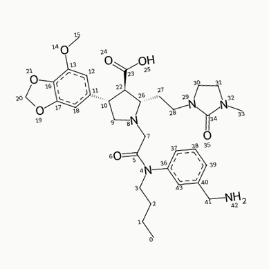 CCCCN(C(=O)CN1C[C@H](c2cc(OC)c3c(c2)OCO3)[C@@H](C(=O)O)[C@@H]1CCN1CCN(C)C1=O)c1cccc(CN)c1